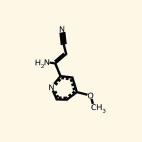 COc1ccnc(C(N)=CC#N)c1